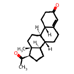 CC(=O)[C@@H]1CC[C@@H]2[C@H]3CCC4=CC(=O)CC[C@H]4[C@@H]3CC[C@]21C